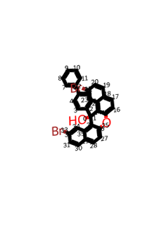 OC1(c2ccc(-c3ccccc3)cc2)c2c(ccc3ccc(Br)cc23)Oc2ccc3ccc(Br)cc3c21